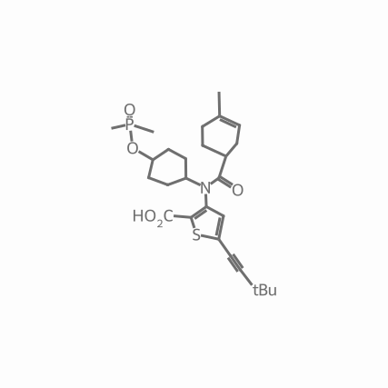 CC1=CCC(C(=O)N(c2cc(C#CC(C)(C)C)sc2C(=O)O)C2CCC(OP(C)(C)=O)CC2)CC1